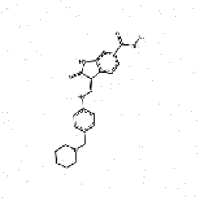 CCNC(=O)c1ccc2c(c1)NC(=O)/C2=C\Nc1ccc(CN2CCCCC2)cc1